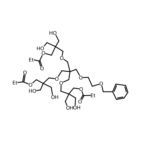 CCC(=O)OCC(CO)(CO)COCC(COCCOCc1ccccc1)(COCC(CO)(CO)COC(=O)CC)COCC(CO)(CO)COC(=O)CC